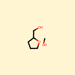 CO.OCC1CCCO1